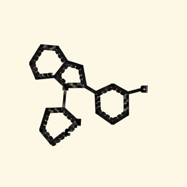 Clc1cccc(-c2cc3ccccc3n2-c2ccccn2)c1